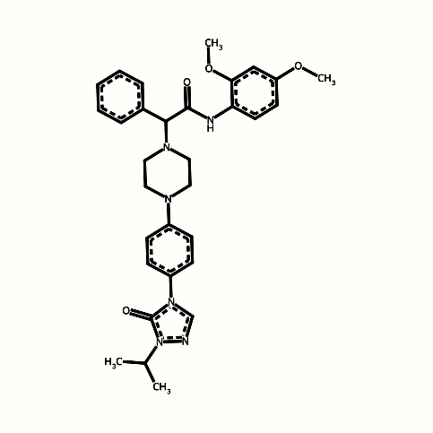 COc1ccc(NC(=O)C(c2ccccc2)N2CCN(c3ccc(-n4cnn(C(C)C)c4=O)cc3)CC2)c(OC)c1